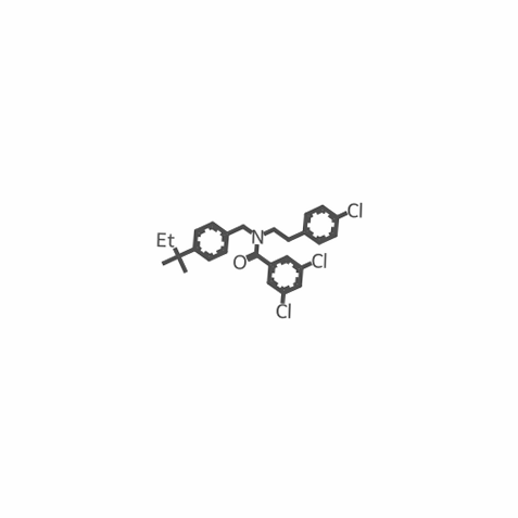 CCC(C)(C)c1ccc(CN(CCc2ccc(Cl)cc2)C(=O)c2cc(Cl)cc(Cl)c2)cc1